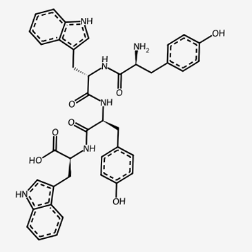 N[C@@H](Cc1ccc(O)cc1)C(=O)N[C@@H](Cc1c[nH]c2ccccc12)C(=O)N[C@@H](Cc1ccc(O)cc1)C(=O)N[C@@H](Cc1c[nH]c2ccccc12)C(=O)O